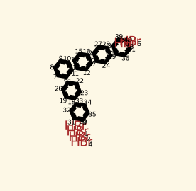 Br.Br.Br.Br.Br.Br.c1ccccc1.c1ccccc1.c1ccccc1.c1ccccc1.c1ccccc1.c1ccccc1